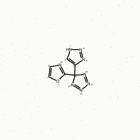 c1coc(C2(c3c[nH]nn3)N=NN=N2)n1